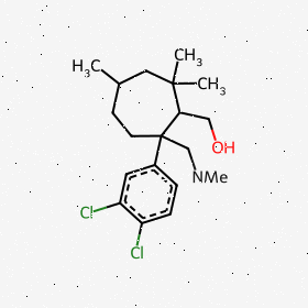 CNCC1(c2ccc(Cl)c(Cl)c2)CCC(C)CC(C)(C)C1CO